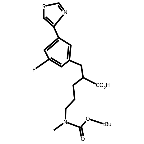 CN(CCCC(Cc1cc(F)cc(-c2cscn2)c1)C(=O)O)C(=O)OC(C)(C)C